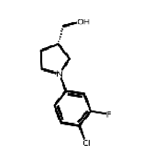 OC[C@H]1CCN(c2ccc(Cl)c(F)c2)C1